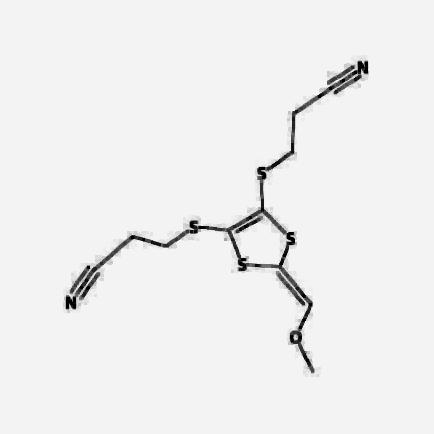 COC=C1SC(SCCC#N)=C(SCCC#N)S1